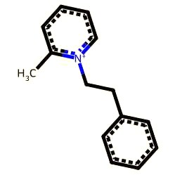 Cc1cccc[n+]1CCc1ccccc1